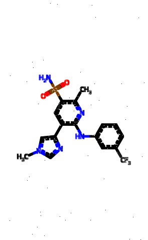 Cc1nc(Nc2cccc(C(F)(F)F)c2)c(-c2cn(C)cn2)cc1S(N)(=O)=O